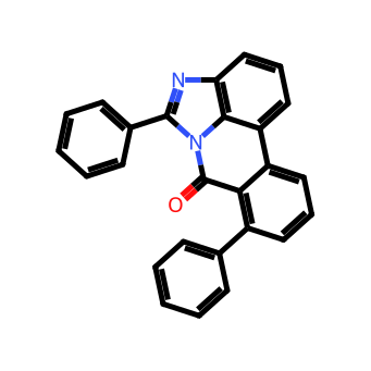 O=c1c2c(-c3ccccc3)cccc2c2cccc3nc(-c4ccccc4)n1c32